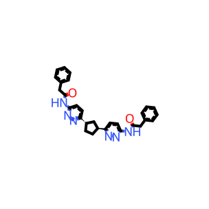 O=C(Cc1ccccc1)Nc1ccc([C@H]2CC[C@H](c3ccc(NC(=O)Cc4ccccc4)nn3)C2)nn1